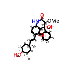 CO[C@@H]1C(=O)Nc2ccc(/C=C/[C@]3(C)CC[C@H](O)[C@@H](C)C3)c(O)c2[C@@]1(O)c1ccccc1